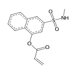 C=CC(=O)Oc1cc(S(=O)(=O)NC)cc2ccccc12